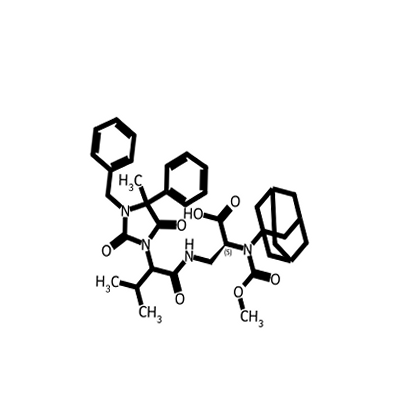 COC(=O)N([C@@H](CNC(=O)C(C(C)C)N1C(=O)N(Cc2ccccc2)C(C)(c2ccccc2)C1=O)C(=O)O)C12CC3CC(CC(C3)C1)C2